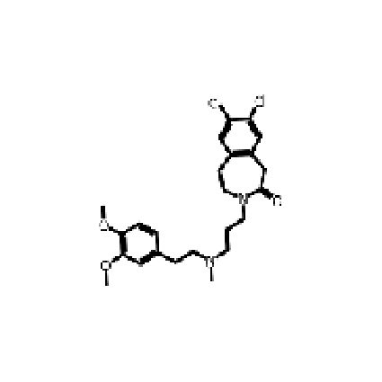 COc1ccc(CCN(C)CCCN2CCc3cc(Cl)c(Cl)cc3CC2=O)cc1OC